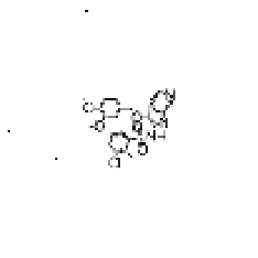 COc1ccc(COc2c(NS(=O)(=O)c3cccc(Cl)c3C)nc3cnccn23)cc1OC